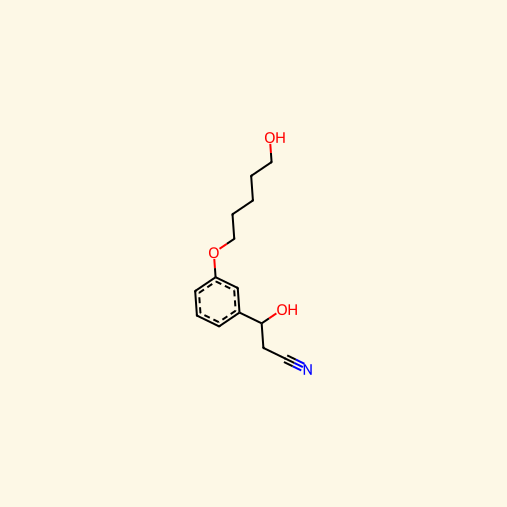 N#CCC(O)c1cccc(OCCCCCO)c1